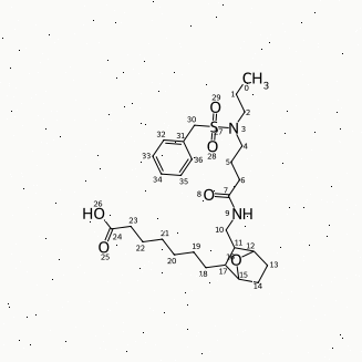 CCCN(CCCC(=O)NCC1C2CCC(O2)C1CCCCCCC(=O)O)S(=O)(=O)Cc1ccccc1